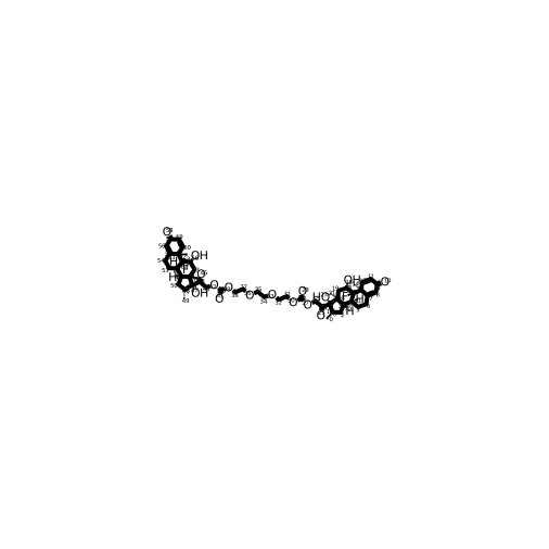 C[C@@H]1C[C@H]2[C@@H]3CCC4=CC(=O)C=C[C@]4(C)[C@@]3(F)[C@@H](O)C[C@]2(C)[C@@]1(O)C(=O)COC(=O)OCCOCCOCCOC(=O)OCC(=O)[C@@]1(O)[C@H](C)C[C@H]2[C@@H]3CCC4=CC(=O)C=C[C@]4(C)[C@@]3(F)[C@@H](O)C[C@@]21C